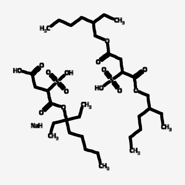 CCCCC(CC)COC(=O)CC(C(=O)OCC(CC)CCCC)S(=O)(=O)O.CCCCCC(CC)(CC)OC(=O)C(CC(=O)O)S(=O)(=O)O.[NaH]